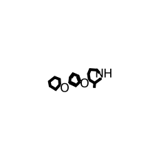 CC1CNCCCC1Oc1cccc(OC2CCCCC2)c1